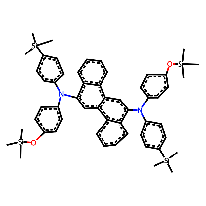 C[Si](C)(C)Oc1ccc(N(c2ccc([Si](C)(C)C)cc2)c2cc3c4ccccc4c(N(c4ccc(O[Si](C)(C)C)cc4)c4ccc([Si](C)(C)C)cc4)cc3c3ccccc23)cc1